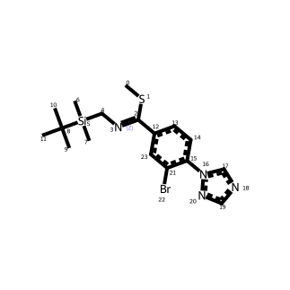 CS/C(=N\C[Si](C)(C)C(C)(C)C)c1ccc(-n2cncn2)c(Br)c1